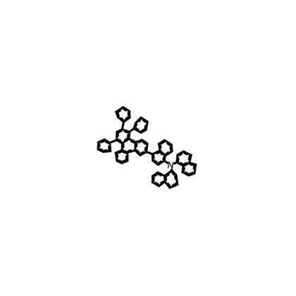 c1ccc(-c2cc(-c3ccccc3)c3c4ccccc4c4cc(-c5ccc(N(c6cccc7ccccc67)c6cccc7ccccc67)c6ccccc56)ccc4c3c2-c2ccccc2)cc1